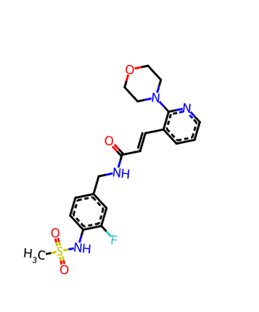 CS(=O)(=O)Nc1ccc(CNC(=O)C=Cc2cccnc2N2CCOCC2)cc1F